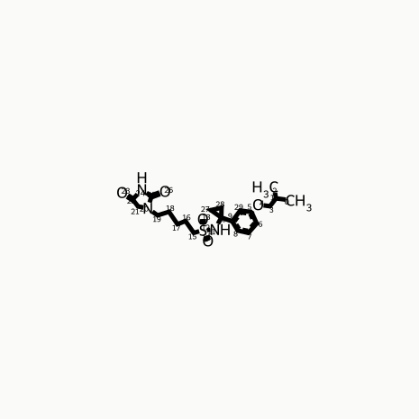 CC(C)COc1cccc(C2(NS(=O)(=O)CCCCCN3CC(=O)NC3=O)CC2)c1